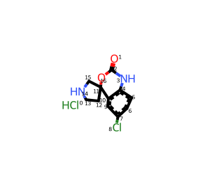 Cl.O=C1Nc2ccc(Cl)cc2C2(CCNC2)O1